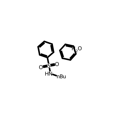 CCCCNS(=O)(=O)c1ccccc1.O.c1ccccc1